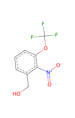 O=[N+]([O-])c1c(CO)cccc1OC(F)(F)F